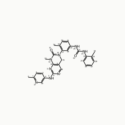 Cc1ccc(Nc2ncc3c(n2)N(C)C(=O)N(c2cc(NC(=O)Nc4ccccc4C)ccc2C)C3)cn1